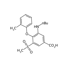 CCCCNc1cc(C(=O)O)cc(S(C)(=O)=O)c1Oc1ccccc1C